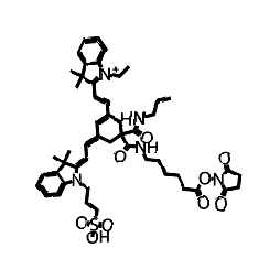 CCCNC(=O)C1(C(=O)NCCCCCC(=O)ON2C(=O)CCC2=O)CC(/C=C/C2=[N+](CC)c3ccccc3C2(C)C)=CC(=C/C=C2/N(CCCS(=O)(=O)O)c3ccccc3C2(C)C)/C1